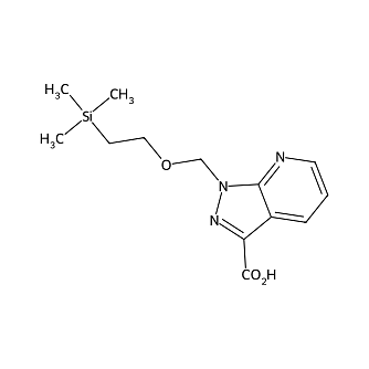 C[Si](C)(C)CCOCn1nc(C(=O)O)c2cccnc21